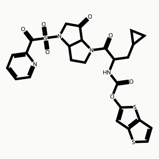 O=C(NC(CC1CC1)C(=O)N1CCC2C1C(=O)CN2S(=O)(=O)C(=O)c1ccccn1)Oc1cc2sccc2s1